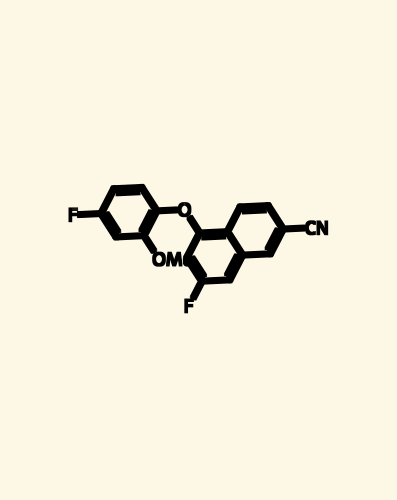 COc1cc(F)ccc1Oc1cc(F)cc2cc(C#N)ccc12